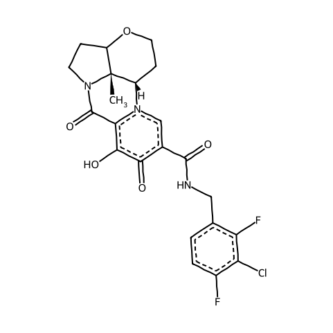 C[C@]12C3CCN1C(=O)c1c(O)c(=O)c(C(=O)NCc4ccc(F)c(Cl)c4F)cn1[C@H]2CCO3